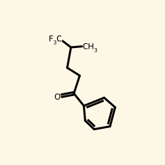 CC(CCC(=O)c1ccccc1)C(F)(F)F